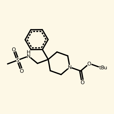 CC(C)(C)OC(=O)N1CCC(CNS(C)(=O)=O)(c2ccccc2)CC1